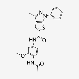 COc1cc(NC(=O)c2cc3c(C)nn(-c4ccccc4)c3s2)ccc1NC(C)=O